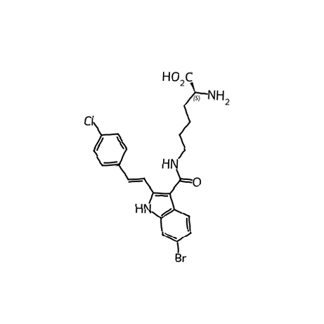 N[C@@H](CCCCNC(=O)c1c(C=Cc2ccc(Cl)cc2)[nH]c2cc(Br)ccc12)C(=O)O